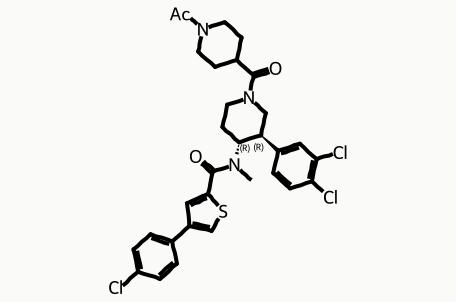 CC(=O)N1CCC(C(=O)N2CC[C@@H](N(C)C(=O)c3cc(-c4ccc(Cl)cc4)cs3)[C@H](c3ccc(Cl)c(Cl)c3)C2)CC1